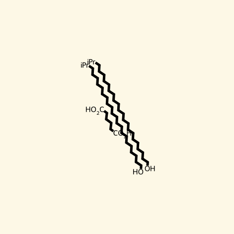 CC(C)CCCCCCCCCCCCCCCCCCCCCO.CC(C)CCCCCCCCCCCCCCCCCCCCCO.O=C(O)CCCCC(=O)O